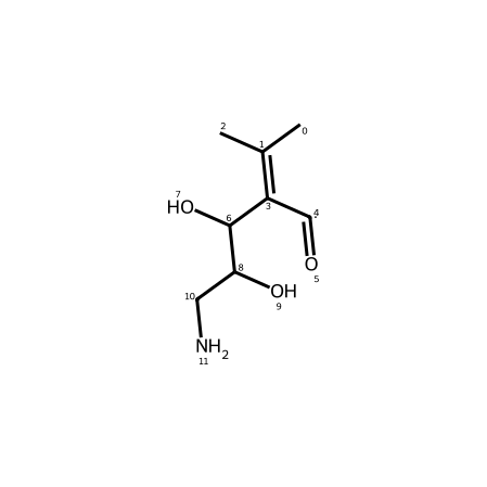 CC(C)=C([C]=O)C(O)C(O)CN